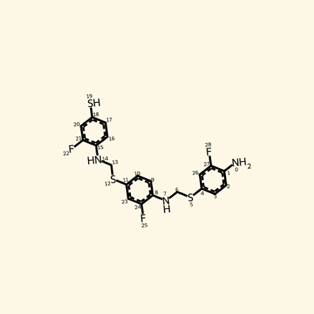 Nc1ccc(SCNc2ccc(SCNc3ccc(S)cc3F)cc2F)cc1F